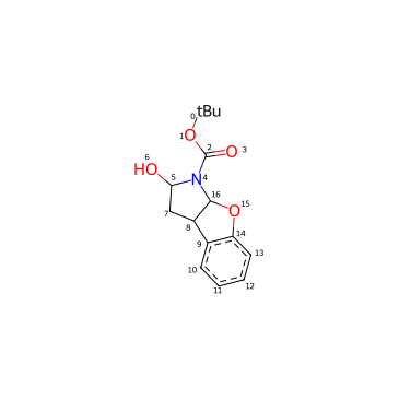 CC(C)(C)OC(=O)N1C(O)CC2c3ccccc3OC21